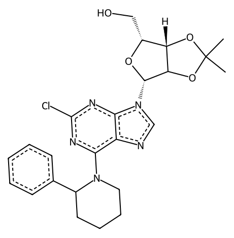 CC1(C)OC2[C@@H](O1)[C@@H](CO)O[C@H]2n1cnc2c(N3CCCCC3c3ccccc3)nc(Cl)nc21